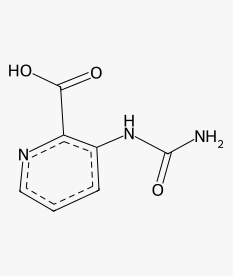 NC(=O)Nc1cccnc1C(=O)O